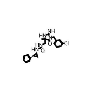 CC1(CNC(=O)N[C@@H]2C[C@H]2c2ccccc2)NC(=N)N(Cc2cccc(Cl)c2)C1=O